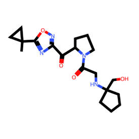 CC1(c2nc(C(=O)C3CCCN3C(=O)CNC3(CO)CCCC3)no2)CC1